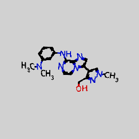 CN(C)c1cccc(Nc2nccn3c(-c4cn(C)nc4CO)cnc23)c1